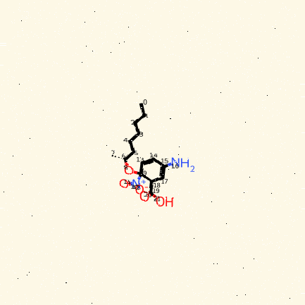 CCCCCC[C@@H](C)OC1([N+](=O)[O-])C=CC(N)=CC1C(=O)O